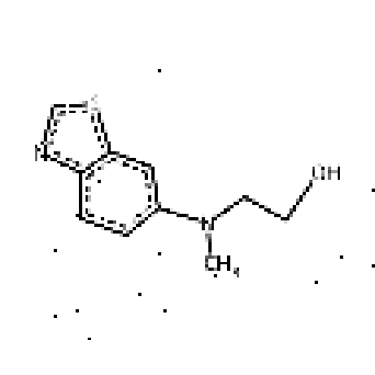 CN(CCO)c1ccc2ncsc2c1